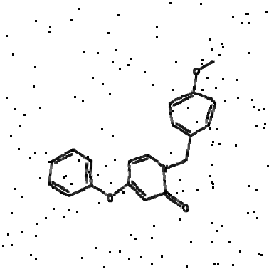 COc1ccc(Cn2ccc(Oc3ccccc3)cc2=O)cc1